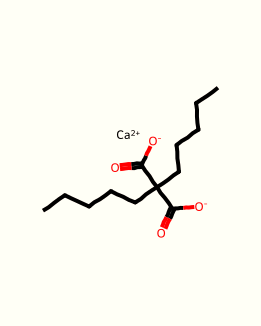 CCCCCC(CCCCC)(C(=O)[O-])C(=O)[O-].[Ca+2]